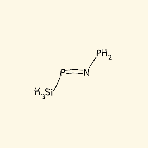 [SiH3]P=NP